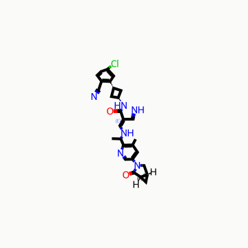 Cc1cc(N2C[C@H]3C[C@H]3C2=O)cnc1C(C)N/C=C(\C=N)C(=O)N[C@H]1C[C@@H](c2cc(Cl)ccc2C#N)C1